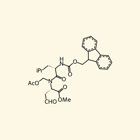 COC(=O)[C@H](CC=O)N(COC(C)=O)C(=O)[C@H](CC(C)C)NC(=O)OCC1c2ccccc2-c2ccccc21